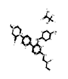 CC[C@H](F)CNc1ncc(-c2ccc(N3CCN(C)CC3=O)cn2)c(NC2CCC(O)CC2)n1.O=C(O)C(F)(F)F